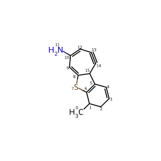 CC1CC=CC2=C1SC1=CC(N)=CC#CC12